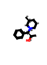 CC(O)[C@H](c1ccccc1)N1CCC[C@H](C)C1